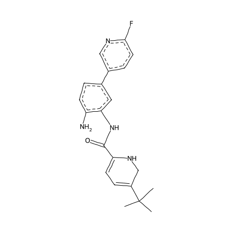 CC(C)(C)C1=CC=C(C(=O)Nc2cc(-c3ccc(F)nc3)ccc2N)NC1